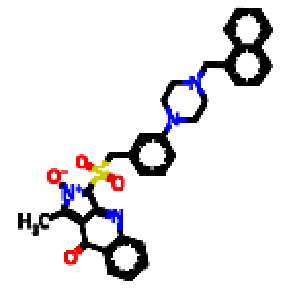 CC1=C2C(=O)c3ccccc3N=C2C(S(=O)(=O)Cc2cccc(N3CCN(Cc4cccc5ccccc45)CC3)c2)=[N+]1[O-]